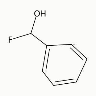 OC(F)c1[c]cccc1